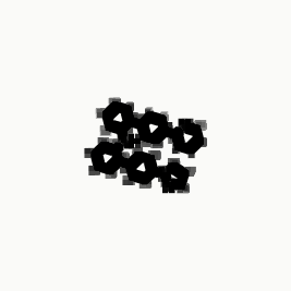 c1ccc(-c2ccc(-c3ccccc3Nc3ccccc3-c3ccc(-n4cccn4)cc3)cc2)nc1